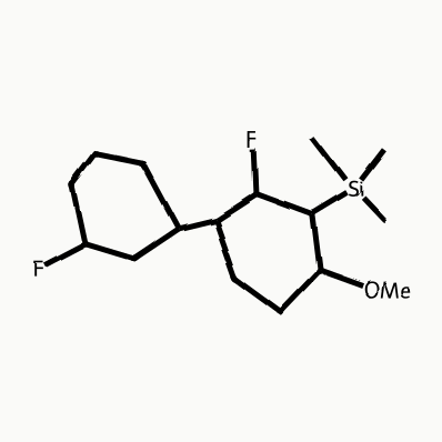 COC1CCC(C2CCCC(F)C2)C(F)C1[Si](C)(C)C